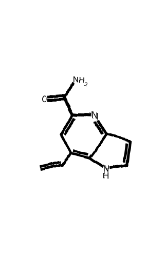 C=Cc1cc(C(N)=O)nc2cc[nH]c12